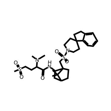 CN(C)C(CCS(C)(=O)=O)C(=O)NC1CC2CCC1(CS(=O)(=O)N1CCC3(CCc4ccccc43)CC1)C2(C)C